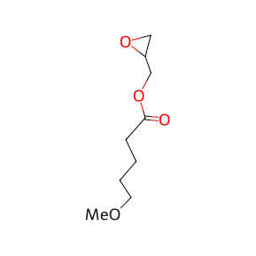 COCCCCC(=O)OCC1CO1